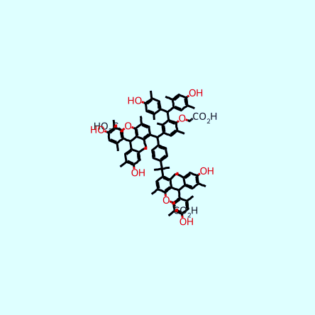 Cc1cc(C(c2cc(C)c(O)cc2C)c2c(C)c(C(c3ccc(C(C)(C)c4cc(C)c(OCC(=O)O)c(C(c5cc(C)c(O)cc5C)c5cc(C)c(O)cc5C)c4C)cc3)c3cc(C)c(OCC(=O)O)c(C(c4cc(C)c(O)cc4C)c4cc(C)c(O)cc4C)c3C)cc(C)c2OCC(=O)O)c(C)cc1O